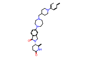 C=C/C=C\C(=C/C)N1CCC(CN2CCCN(c3ccc4c(c3)CN([C@H]3CCC(=O)NC3=C)C4=O)CC2)CC1